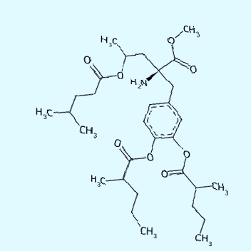 CCCC(C)C(=O)Oc1ccc(C[C@](N)(CC(C)OC(=O)CCC(C)C)C(=O)OC)cc1OC(=O)C(C)CCC